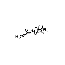 COCC(=O)CNC(=O)OC(C)(C)C